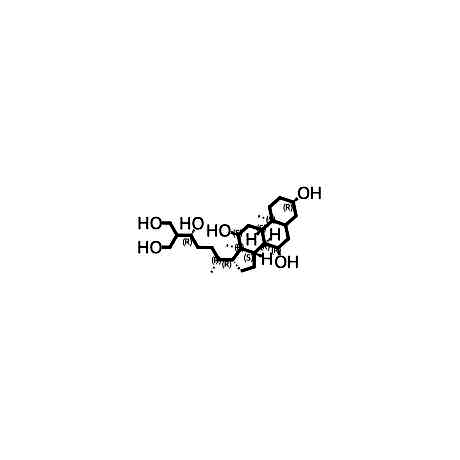 C[C@H](CC[C@@H](O)C(CO)CO)[C@H]1CC[C@H]2[C@@H]3[C@H](O)CC4C[C@H](O)CC[C@]4(C)[C@H]3C[C@H](O)[C@]12C